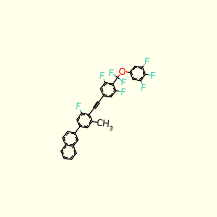 Cc1cc(-c2ccc3ccccc3c2)cc(F)c1C#Cc1cc(F)c(C(F)(F)Oc2cc(F)c(F)c(F)c2)c(F)c1